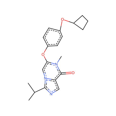 CC(C)c1ncc2c(=O)n(C)c(Oc3ccc(OC4CCC4)cc3)cn12